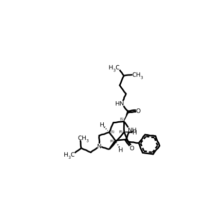 CC(C)CCNC(=O)[C@]12C[C@@H]3CN(CC(C)C)C([C@H]1Cc1ccccc1)[C@@H]3C(=O)N2